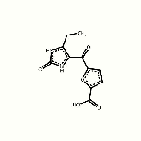 CCc1[nH]c(=O)[nH]c1C(=O)c1ccc(C(=O)O)o1